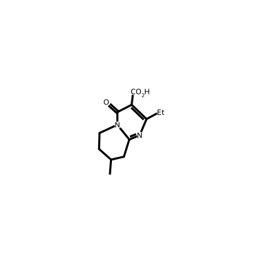 CCc1nc2n(c(=O)c1C(=O)O)CCC(C)C2